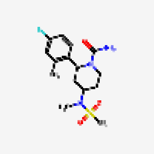 Cc1cc(F)ccc1C1CC(N(C)S(C)(=O)=O)CCN1C(N)=O